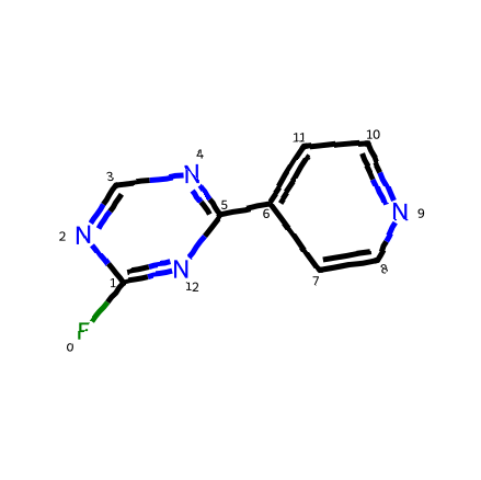 Fc1ncnc(-c2ccncc2)n1